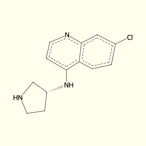 Clc1ccc2c(N[C@@H]3CCNC3)ccnc2c1